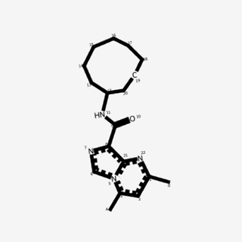 Cc1cc(C)n2cnc(C(=O)NC3CCCCCCCC3)c2n1